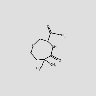 CC1(C)CSSCC(C(N)=O)NC1=O